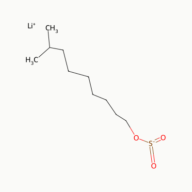 CC(C)CCCCCCCO[S-](=O)=O.[Li+]